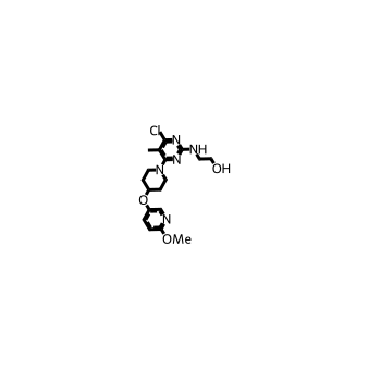 COc1ccc(OC2CCN(c3nc(NCCO)nc(Cl)c3C)CC2)cn1